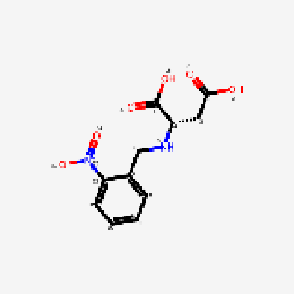 O=C(O)C[C@H](NCc1ccccc1[N+](=O)[O-])C(=O)O